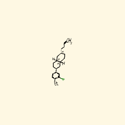 C=CCC[C@@H]1CC[C@@H]2CC(c3ccc(CC)c(F)c3)CC[C@@H]2C1